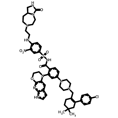 CC1(C)CCC(CN2CCN(c3ccc(C(=O)NS(=O)(=O)c4ccc(NCCN5CCC6CNC(=O)N6CC5)c([N+](=O)[O-])c4)c(N4CCOc5nc6[nH]ccc6cc54)c3)CC2)=C(c2ccc(Cl)cc2)C1